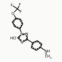 CNc1ccc(-c2ncn(-c3ccc(OC(F)(F)F)cc3)n2)cc1.Cl